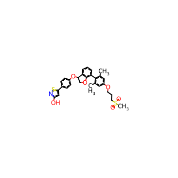 Cc1cc(OCCCS(C)(=O)=O)cc(C)c1-c1cccc2c1OCC2Oc1ccc(-c2cc(O)ns2)cc1